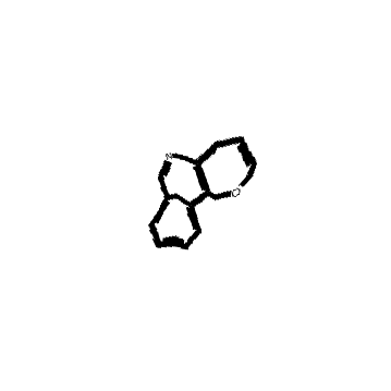 C1=COc2c(ncc3ccccc23)C1